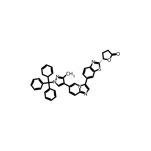 Cc1nn(C(c2ccccc2)(c2ccccc2)C2C=CC=CC2)cc1-c1ccc2ncc(-c3ccc4nc([C@@H]5CCC(=O)O5)sc4c3)n2c1